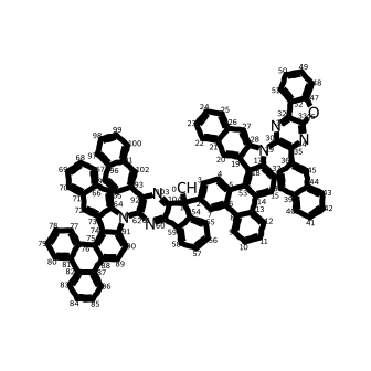 CC1(c2ccc3c(c2)c2ccccc2c2ccc4c(c5cc6ccccc6cc5n4-c4nc5c(nc4-c4ccc6ccccc6c4)oc4ccccc45)c23)c2ccccc2-c2nc(-n3c4cc5ccccc5cc4c4c5c6ccccc6c6ccccc6c5ccc43)c(-c3ccc4ccccc4c3)nc21